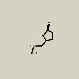 CC(C)(C)NCC1CCC(=O)N1